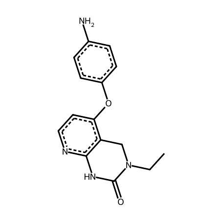 CCN1Cc2c(Oc3ccc(N)cc3)ccnc2NC1=O